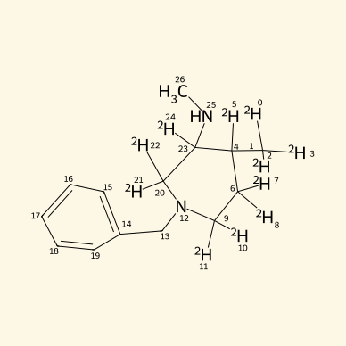 [2H]C([2H])([2H])C1([2H])C([2H])([2H])C([2H])([2H])N(Cc2ccccc2)C([2H])([2H])C1([2H])NC